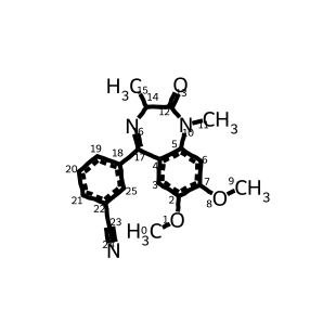 COc1cc2c(cc1OC)N(C)C(=O)C(C)N=C2c1cccc(C#N)c1